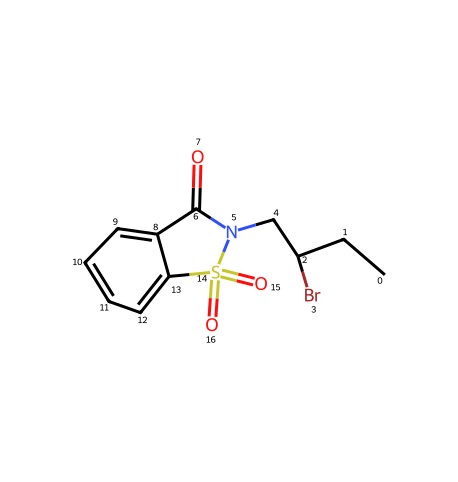 CCC(Br)CN1C(=O)c2ccccc2S1(=O)=O